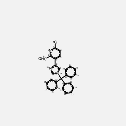 O=Cc1nc(Cl)ccc1-c1cn(C(c2ccccc2)(c2ccccc2)c2ccccc2)cn1